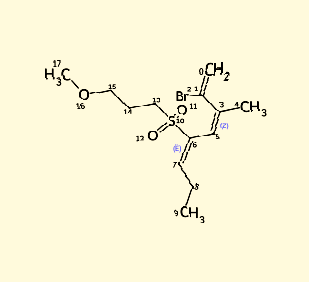 C=C(Br)/C(C)=C\C(=C/CC)S(=O)(=O)CCCOC